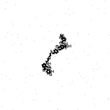 CN(CCCOCCCNc1cccc2c1C(=O)N(C1CCC(=O)NC1=O)C2=O)CC1CCC(N2Cc3cc(C(C)(C)O)c(NC(=O)c4cccc(C(F)(F)F)n4)cc3C2=O)CC1